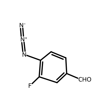 [N-]=[N+]=Nc1ccc(C=O)cc1F